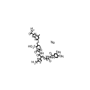 Cc1cc(SCC2=C(C(=O)O)N3C(=O)[C@@H](NC(=O)C(=NOC(C)(C)C(=O)NNC(=O)c4ccc(O)c(O)c4)c4csc(N)n4)[C@H]3SC2)nc2nc(C(N)=O)nn12.[Na]